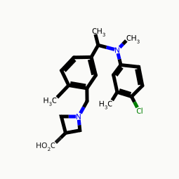 Cc1cc(N(C)C(C)c2ccc(C)c(CN3CC(C(=O)O)C3)c2)ccc1Cl